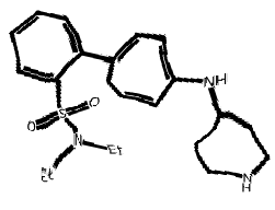 CCN(CC)S(=O)(=O)c1ccccc1-c1ccc(NC2CCNCC2)cc1